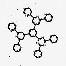 c1ccc(-c2nc(-c3ccccc3)nc(-c3cc(-c4cc(-c5ccccn5)nc(-c5ccccn5)c4)cc(-c4cc(-c5ccccn5)nc(-c5ccccn5)c4)c3)n2)cc1